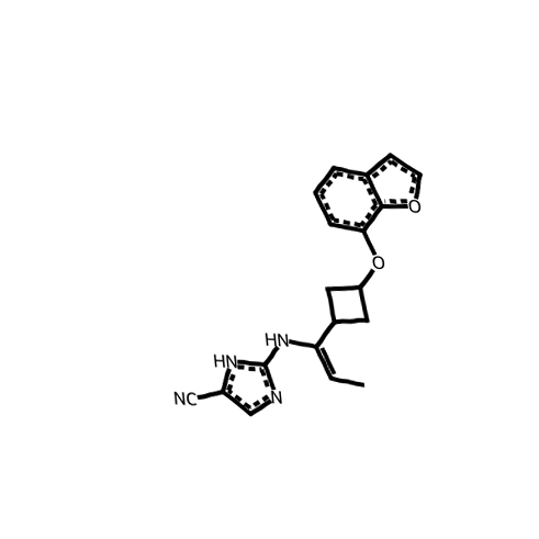 C/C=C(/Nc1ncc(C#N)[nH]1)C1CC(Oc2cccc3ccoc23)C1